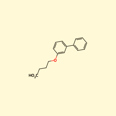 O=C(O)CCCOc1cccc(-c2ccccc2)c1